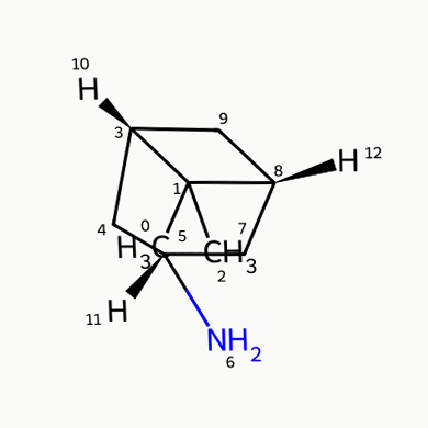 CC1(C)[C@@H]2C[C@@H](N)C[C@H]1C2